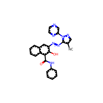 [C-]#[N+]c1cnn(-c2cnccn2)c1/N=N/c1cc2ccccc2c(C(=O)Nc2ccccc2)c1O